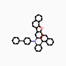 c1ccc(-c2ccc(N(c3ccc4oc5c6ccccc6ccc5c4c3)c3ccccc3-c3cccc4ccccc34)cc2)cc1